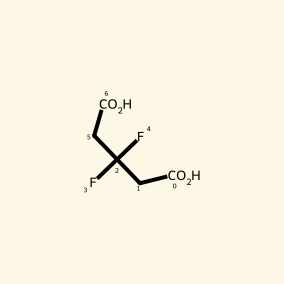 O=C(O)CC(F)(F)CC(=O)O